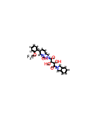 O=C(NCc1ccc(-c2ccccc2OC(F)(F)F)c[n+]1O)[C@H](O)[C@@H](O)C(=O)N1Cc2ccccc2C1